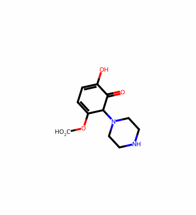 O=C(O)OC1=CC=C(O)C(=O)C1N1CCNCC1